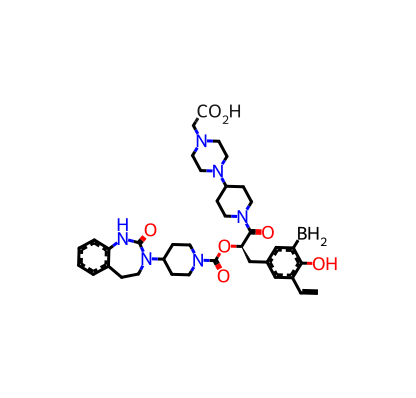 Bc1cc(C[C@@H](OC(=O)N2CCC(N3CCc4ccccc4NC3=O)CC2)C(=O)N2CCC(N3CCN(CC(=O)O)CC3)CC2)cc(C=C)c1O